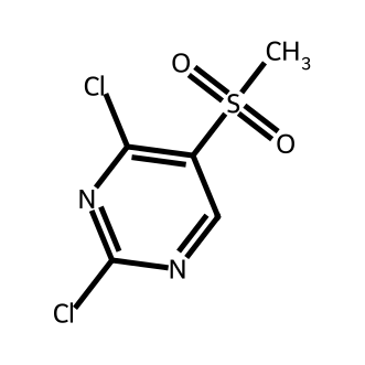 CS(=O)(=O)c1cnc(Cl)nc1Cl